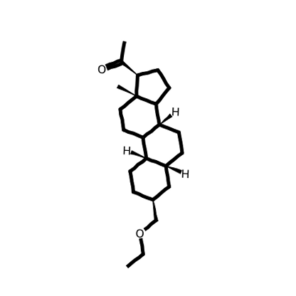 CCOC[C@H]1CC[C@@H]2C3CC[C@@]4(C)C(CC[C@@H]4C(C)=O)[C@@H]3CC[C@@H]2C1